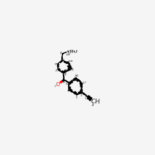 C#Cc1ccc(C(=O)c2ccc(CC(C)(C)C)cc2)cc1